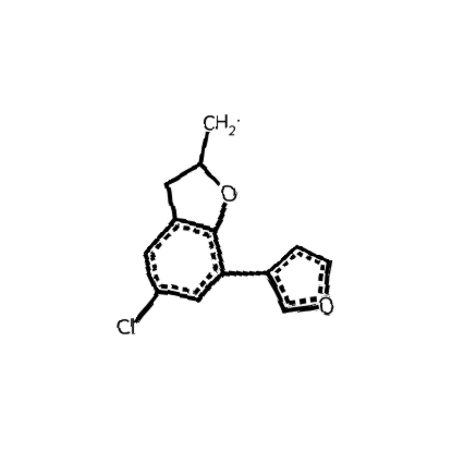 [CH2]C1Cc2cc(Cl)cc(-c3ccoc3)c2O1